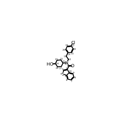 O=C(c1csc2ccccc12)N(CCc1ccc(Cl)cc1)C1CCC(O)CC1